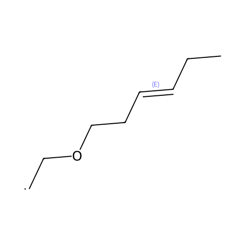 [CH2]COCC/C=C/CC